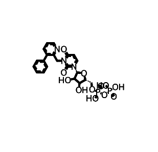 O=c1ccn([C@@H]2O[C@H](COP(=O)(O)OP(=O)(O)O)C(O)C2O)c(=O)n1Cc1ncccc1-c1ccccc1